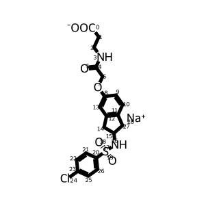 O=C([O-])CCNC(=O)COc1ccc2c(c1)CC(NS(=O)(=O)c1ccc(Cl)cc1)C2.[Na+]